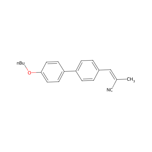 CCCCOc1ccc(-c2ccc(/C=C(/C)C#N)cc2)cc1